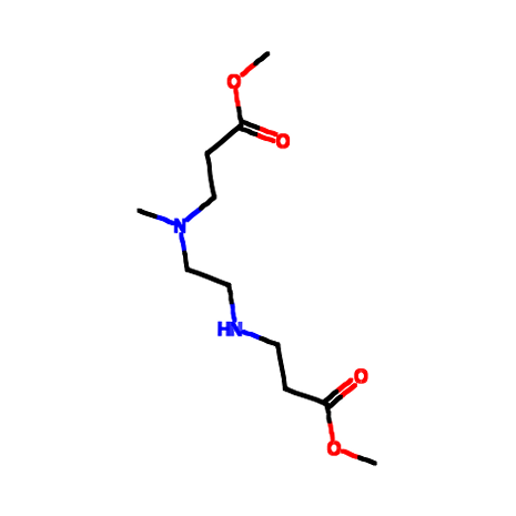 COC(=O)CCNCCN(C)CCC(=O)OC